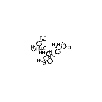 Nc1ncc(Cl)cc1-c1ccc(Oc2ncc(NC(=O)Nc3cc(C(F)(F)F)ccc3-n3cccn3)cn2)cc1.O=S(=O)(O)c1ccccc1